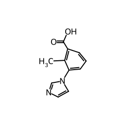 Cc1c(C(=O)O)cccc1-n1ccnc1